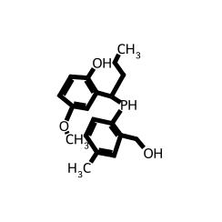 CCCC(Pc1ccc(C)cc1CO)c1cc(OC)ccc1O